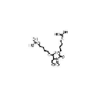 O=CCC(NC(=O)OCCCCON(O)O)C(=O)OCCCCON(O)O